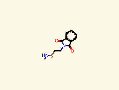 CNSCCN1C(=O)c2ccccc2C1=O